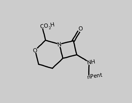 CCCCCNC1C(=O)N2C(C(=O)O)OCCC12